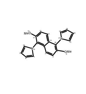 COc1ccc2c(-n3cccc3)c(OC)ccc2c1-n1cccc1